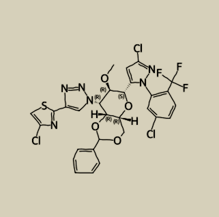 CO[C@@H]1[C@@H](n2cc(-c3nc(Cl)cs3)nn2)[C@H]2OC(c3ccccc3)OC[C@H]2O[C@H]1c1cc(Cl)nn1-c1cc(Cl)ccc1C(F)(F)F